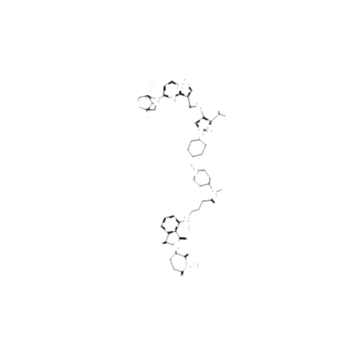 CN(C(=O)CCCNc1cccc2c1C(=O)N(C1CCC(=O)NC1=O)C2=O)C1CCN(C[C@H]2CC[C@H](n3cc(NC(=O)c4cnn5ccc(N6C[C@H]7C[C@@H]6CO7)nc45)c(C(F)F)n3)CC2)CC1